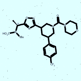 C[C@@H](c1nc(C2CC(c3ccc(C(F)(F)F)cc3)CN(C(=O)N3CCOCC3)C2)no1)N(C(=O)O)C(C)(C)C